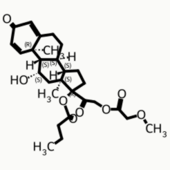 CCCC(=O)O[C@]1(C(=O)COC(=O)COC)CC[C@H]2[C@@H]3CCC4=CC(=O)C=C[C@]4(C)[C@H]3[C@@H](O)C[C@@]21C